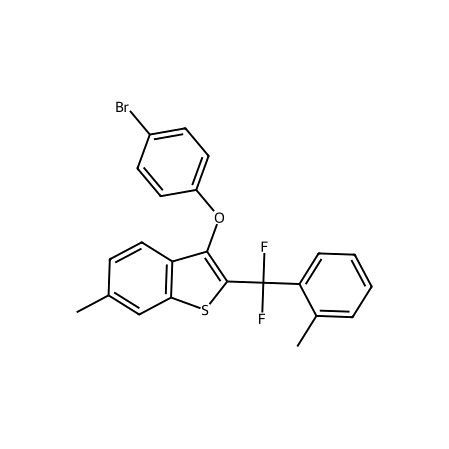 Cc1ccc2c(Oc3ccc(Br)cc3)c(C(F)(F)c3ccccc3C)sc2c1